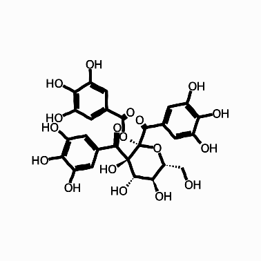 O=C(O[C@]1(C(=O)c2cc(O)c(O)c(O)c2)O[C@H](CO)[C@@H](O)[C@H](O)[C@]1(O)C(=O)c1cc(O)c(O)c(O)c1)c1cc(O)c(O)c(O)c1